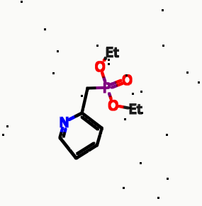 CCOP(=O)(Cc1ccccn1)OCC